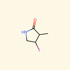 CC1C(=O)NCC1I